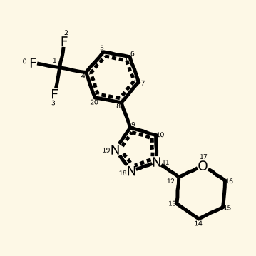 FC(F)(F)c1cccc(-c2cn(C3CCCCO3)nn2)c1